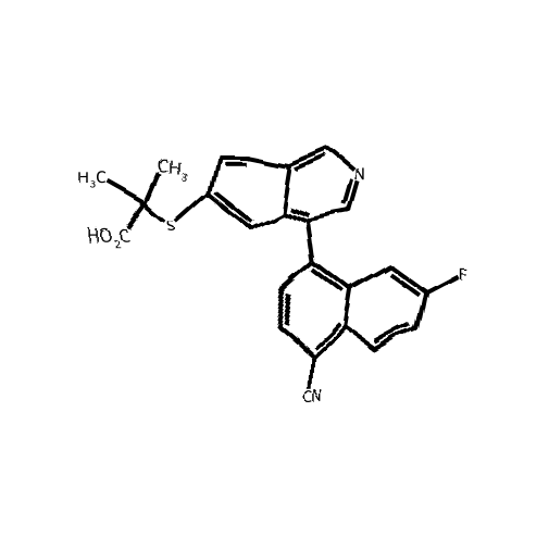 CC(C)(Sc1ccc2cncc(-c3ccc(C#N)c4ccc(F)cc34)c2c1)C(=O)O